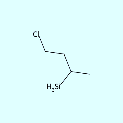 CC([SiH3])CCCl